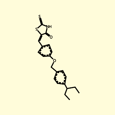 CCC(CC)c1ccc(COc2ccc(C=C3SC(=S)NC3=O)cc2)cc1